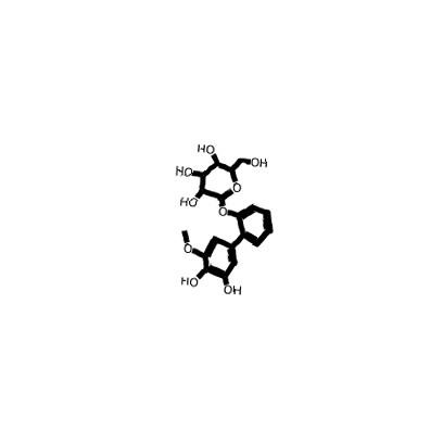 COc1cc(-c2ccccc2OC2OC(CO)C(O)C(O)C2O)cc(O)c1O